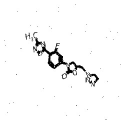 Cc1noc(-c2ccc(N3CC(CN4CCN=N4)OC3=O)cc2F)n1